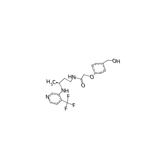 C[C@@H](CCNC(=O)COc1ccc(CO)cc1)Nc1cnccc1C(F)(F)F